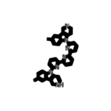 Cc1ccc2c(c1)c1c(n2-c2cccc(-c3cccc(-c4cccc(-n5c6ccncc6c6cc(C)ccc65)n4)n3)n2)C=CNC1